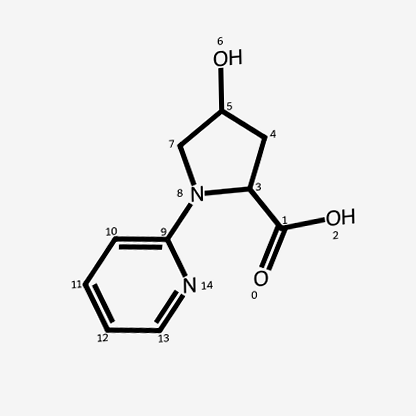 O=C(O)C1CC(O)CN1c1ccccn1